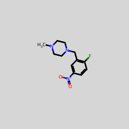 CN1CCN(Cc2cc([N+](=O)[O-])ccc2F)CC1